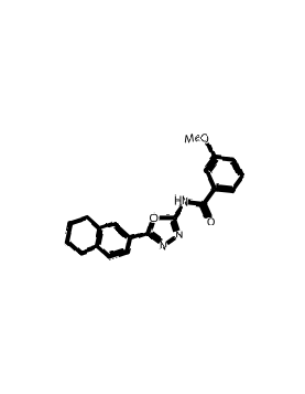 COc1cccc(C(=O)Nc2nnc(-c3ccc4c(c3)CCCC4)o2)c1